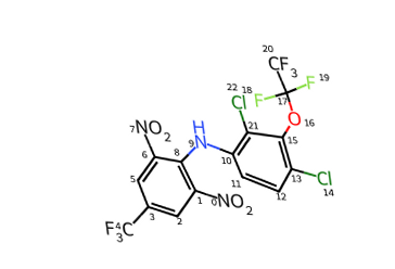 O=[N+]([O-])c1cc(C(F)(F)F)cc([N+](=O)[O-])c1Nc1ccc(Cl)c(OC(F)(F)C(F)(F)F)c1Cl